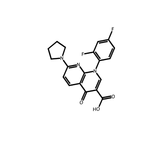 O=C(O)c1cn(-c2ccc(F)cc2F)c2nc(N3CCCC3)ccc2c1=O